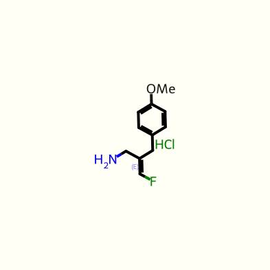 COc1ccc(C/C(=C\F)CN)cc1.Cl